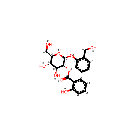 O=C(O[C@H]1[C@H](Oc2ccccc2CO)O[C@H](CO)[C@@H](O)[C@@H]1O)c1ccccc1O